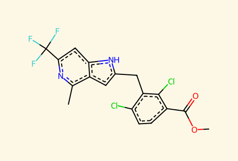 COC(=O)c1ccc(Cl)c(Cc2cc3c(C)nc(C(F)(F)F)cc3[nH]2)c1Cl